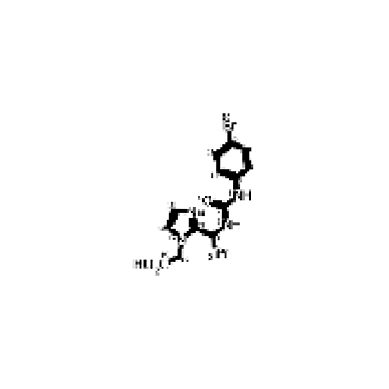 CC(C)[C@H](NC(=O)Nc1ccc(Br)cc1)c1nccn1CC(=O)O